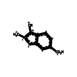 Cn1nc2cc(C(=O)O)ccc2c1C#N